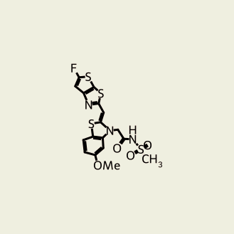 COc1ccc2c(c1)N(CC(=O)NS(C)(=O)=O)/C(=C/c1nc3cc(F)sc3s1)S2